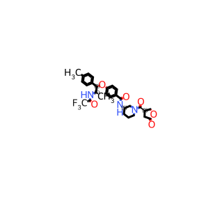 Cc1ccc([C@@H](Oc2ccc(C(=O)N[C@H]3CCCN(C(=O)[C@H]4COC(=O)C4)C3)cc2)[C@H](C)NC(=O)C(F)(F)F)cc1